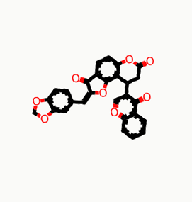 O=C1CC(c2coc3ccccc3c2=O)c2c(ccc3c2OC(=Cc2ccc4c(c2)OCO4)C3=O)O1